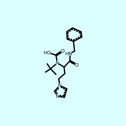 CC(C)(C)N(C(=O)O)C(CCn1ccnc1)C(=O)NCc1ccccc1